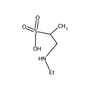 CCNCC(C)S(=O)(=O)O